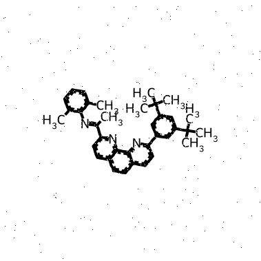 CC(=Nc1c(C)cccc1C)c1ccc2ccc3ccc(-c4cc(C(C)(C)C)cc(C(C)(C)C)c4)nc3c2n1